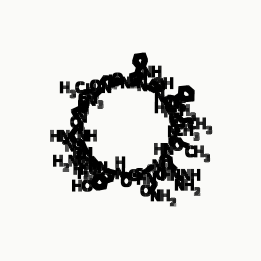 CCCC[C@H]1C(=O)N(C)[C@@H](CCCC)C(=O)N[C@@H](CCCNC(=N)N)C(=O)N[C@H](C(=O)NCC(N)=O)CSCC(=O)N[C@@H](Cc2ccc(O)cc2)C(=O)N(C)[C@@H](C)C(=O)N[C@@H](CC(N)=O)C(=O)N[C@@H](Cc2cnc[nH]2)C(=O)N2CCC[C@H]2C(=O)N[C@@H](CC(C)C)C(=O)N2CCC[C@H]2C(=O)N[C@@H](Cc2c[nH]c3ccccc23)C(=O)N[C@@H](CO)C(=O)N[C@@H](Cc2csc3ccccc23)C(=O)N1C